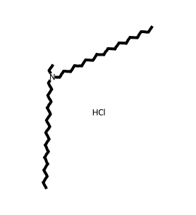 CCCCCCCCCCCCCCCCCCN(CC)CCCCCCCCCCCCCCCCCC.Cl